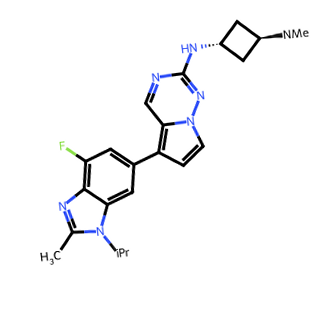 CN[C@H]1C[C@H](Nc2ncc3c(-c4cc(F)c5nc(C)n(C(C)C)c5c4)ccn3n2)C1